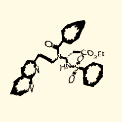 CCOC(=O)C[C@H](NS(=O)(=O)c1ccccc1)N(C=Cc1ccc2cccnc2n1)C(=O)c1ccccc1